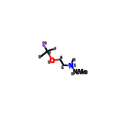 CNN(C)CCOC(C)(C)I